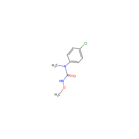 CONC(=O)N(C)c1c[c]c(Cl)cc1